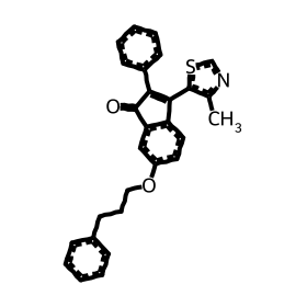 Cc1ncsc1C1=C(c2ccccc2)C(=O)c2cc(OCCCc3ccccc3)ccc21